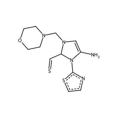 NC1=CN(CN2CCOCC2)C(C=S)N1c1nccs1